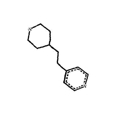 c1cc(CCC2CC[N]CC2)ccn1